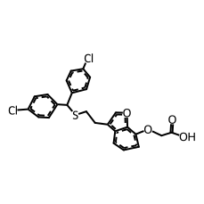 O=C(O)COc1cccc2c(CCSC(c3ccc(Cl)cc3)c3ccc(Cl)cc3)coc12